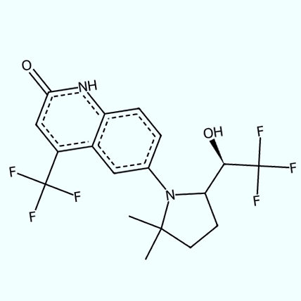 CC1(C)CCC([C@@H](O)C(F)(F)F)N1c1ccc2[nH]c(=O)cc(C(F)(F)F)c2c1